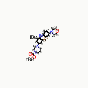 CCC(C)c1cc(N2CCCN(C(=O)OC(C)(C)C)CC2)cc2[s+]c3cc(N4CCOCC4)ccc3nc12